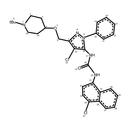 CC(C)(C)N1CCC(OCc2nn(-c3ccccc3)c(NC(=O)Nc3ccc(Cl)c4ccccc34)c2Cl)CC1